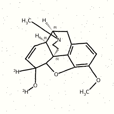 [2H]OC1([2H])C=C[C@H]2[C@H]3Cc4ccc(OC)c5c4[C@@]2(CCN3C)C1O5